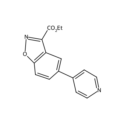 CCOC(=O)c1noc2ccc(-c3ccncc3)cc12